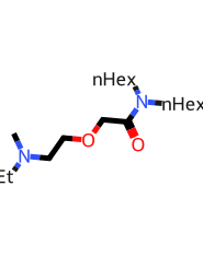 CCCCCCN(CCCCCC)C(=O)COCCN(C)CC